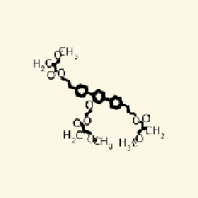 C=C(COC)C(=O)OCCCc1ccc(-c2ccc(-c3ccc(CCCOC(=O)C(=C)COC)cc3)c(OCCOC(=O)C(=C)COC)c2)cc1